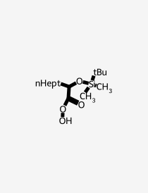 CCCCCCCC(O[Si](C)(C)C(C)(C)C)C(=O)OO